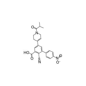 CC(C)C(=O)N1CC=C(c2cc(C(=O)O)c(C#N)c(-c3ccc([N+](=O)[O-])cc3)c2)CC1